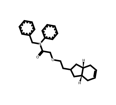 O=C(COCCC1C[C@H]2CC=CC[C@H]2C1)N(Cc1ccccc1)c1ccccc1